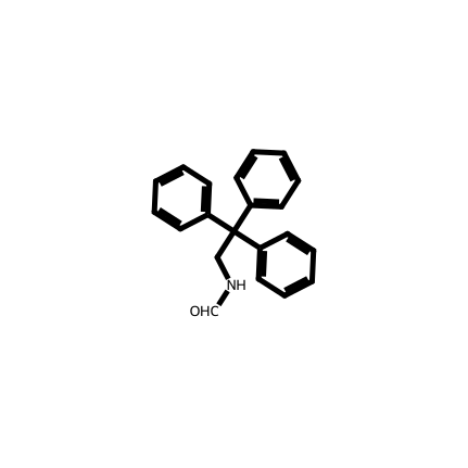 O=CNCC(c1ccccc1)(c1ccccc1)c1ccccc1